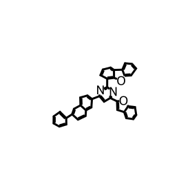 c1ccc(-c2ccc3cc(-c4cc(-c5cc6ccccc6o5)nc(-c5cccc6c5oc5ccccc56)n4)ccc3c2)cc1